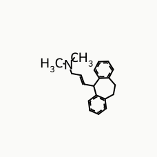 CN(C)C/C=C/C1c2ccccc2CCc2ccccc21